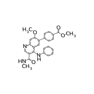 CNC(=O)c1cnc2cc(OC)c(-c3ccc(C(=O)OC)cc3)cc2c1Nc1ccccc1